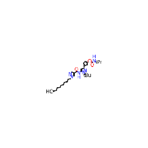 C#CCCCCCCCCCn1cc(C(=O)Nc2cc([C@H]3CC[C@@H](OC(=O)NC(C)C)C3)nn2C(C)(C)C)cn1